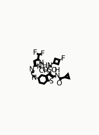 Cn1nc(C(F)F)cc1N=C=N[C@H]1CCc2sc(NC(=O)C3CC3)c(S(=O)(=O)N[C@H]3C[C@H](F)C3)c2C1